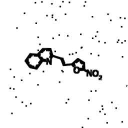 O=[N+]([O-])c1ccc(C=Cc2ccc3ccccc3n2)o1